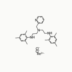 Cc1cc(C)c(NCCN(CCNc2c(C)cc(C)cc2C)Cc2ccccn2)c(C)c1.[Cl-].[Cl-].[Re+2]